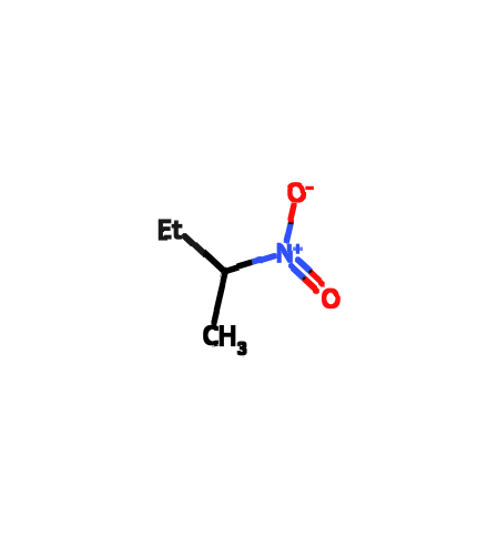 [CH2]CC(C)[N+](=O)[O-]